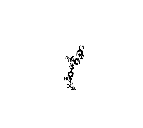 CC(C#N)Nc1cc(-n2ncc3cc(C#N)cnc32)ncc1-n1cc(C2CCC(O)(CCOC(=O)C(C)(C)C)CC2)nn1